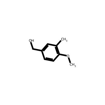 COc1ccc([CH]O)cc1C